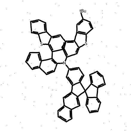 CC(C)(C)c1ccc2sc3cc(N(c4ccc5c(c4)-c4cc6ccccc6cc4C54c5ccccc5-c5ccccc54)c4ccc5ccccc5c4-c4cccc5c4sc4ccccc45)ccc3c2c1